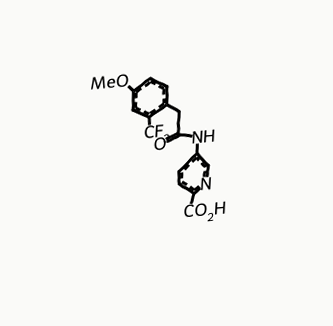 COc1ccc(CC(=O)Nc2ccc(C(=O)O)nc2)c(C(F)(F)F)c1